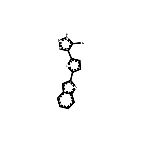 N#Cc1[nH]nnc1-c1ccc(-c2cc3ccccc3s2)o1